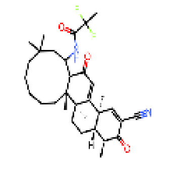 C[C@@H]1C(=O)C(C#N)=C[C@]2(C)C3=CC(=O)C4C(NC(=O)C(C)(F)F)CC(C)(C)CCCCC[C@@]4(C)[C@]3(C)CC[C@@H]12